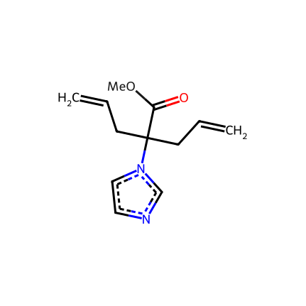 C=CCC(CC=C)(C(=O)OC)n1ccnc1